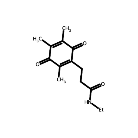 CCNC(=O)CCC1=C(C)C(=O)C(C)=C(C)C1=O